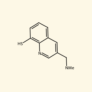 CNCc1cnc2c(S)cccc2c1